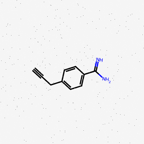 C#CCc1ccc(C(=N)N)cc1